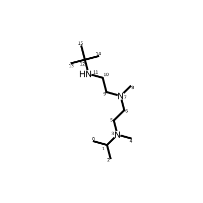 CC(C)N(C)CCN(C)CCNC(C)(C)C